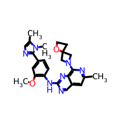 COc1cc(-c2ncc(C)n2C)ccc1Nc1ncc2cc(C)nc(N3CC4(CCO4)C3)c2n1